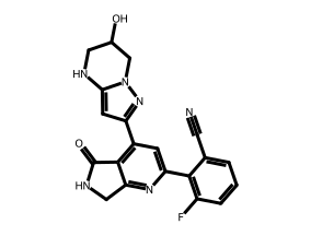 N#Cc1cccc(F)c1-c1cc(-c2cc3n(n2)CC(O)CN3)c2c(n1)CNC2=O